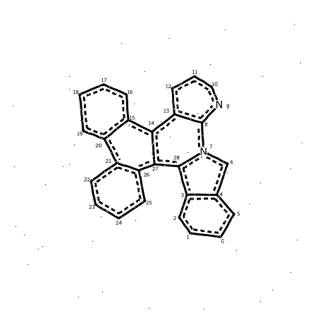 c1ccc2c(c1)cn1c3ncccc3c3c4ccccc4c4ccccc4c3c21